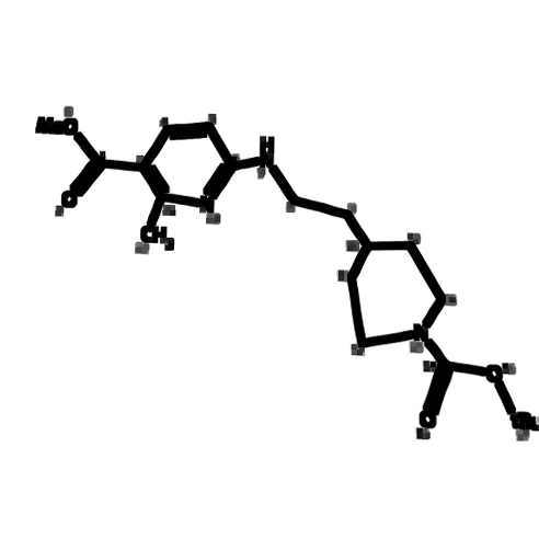 COC(=O)c1ccc(NCCC2CCN(C(=O)OC(C)(C)C)CC2)nc1C